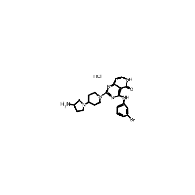 Cl.NC1CCN(C2CCN(c3nc(Nc4cccc(Br)c4)c4c(=O)[nH]ccc4n3)CC2)C1